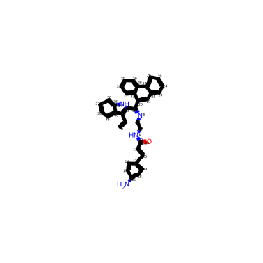 C=Cc1c(/C(=N\CCNC(=O)/C=C/c2ccc(N)cc2)c2cc3ccccc3c3ccccc23)[nH]c2ccccc12